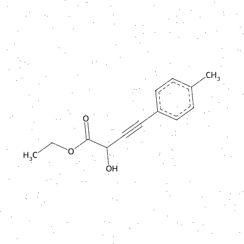 CCOC(=O)C(O)C#Cc1ccc(C)cc1